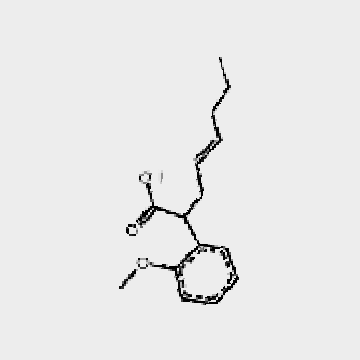 CCCC=CCC(C(=O)O)c1ccccc1OC